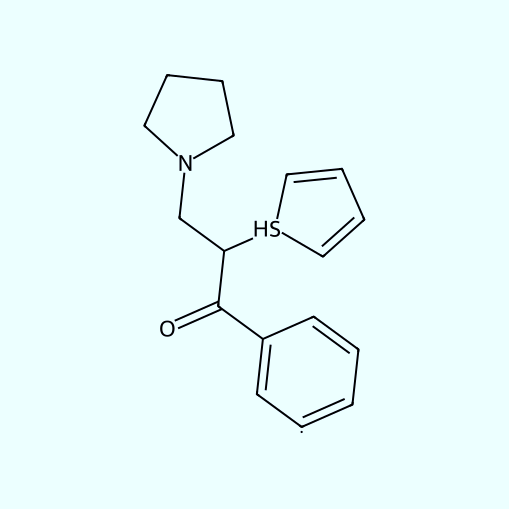 O=C(c1c[c]ccc1)C(CN1CCCC1)[SH]1C=CC=C1